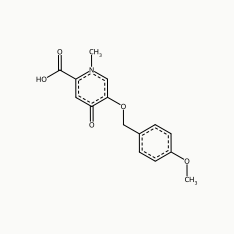 COc1ccc(COc2cn(C)c(C(=O)O)cc2=O)cc1